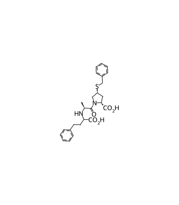 C[C@H](NC(CCc1ccccc1)C(=O)O)C(=O)N1C[C@@H](SCc2ccccc2)C[C@H]1C(=O)O